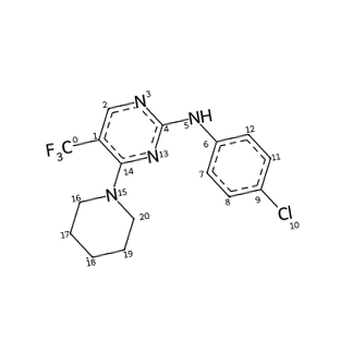 FC(F)(F)c1cnc(Nc2ccc(Cl)cc2)nc1N1CC[CH]CC1